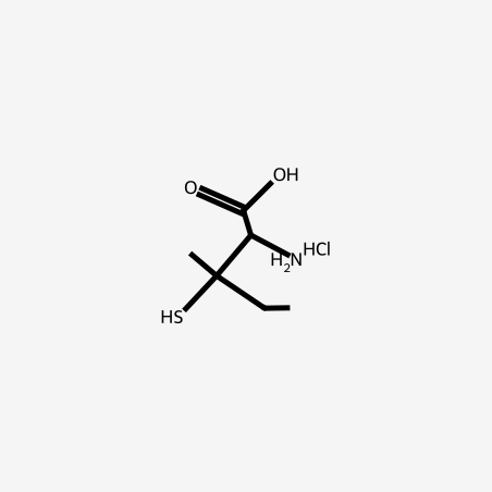 CCC(C)(S)C(N)C(=O)O.Cl